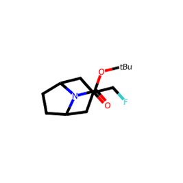 CC(C)(C)OC(=O)N1C2CCC1CC(CF)C2